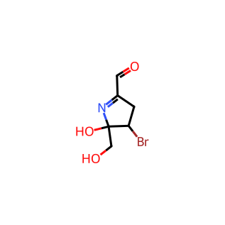 O=CC1=NC(O)(CO)C(Br)C1